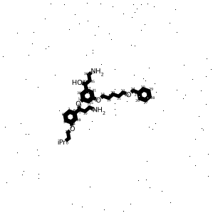 CC(C)CCOc1cccc(C(CCN)Oc2cc(OCCCCCOCc3ccccc3)cc(C(O)CCN)c2)c1